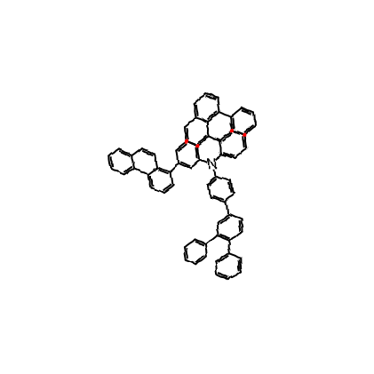 c1ccc(-c2ccc(-c3ccc(N(c4cccc(-c5cccc6c5ccc5ccccc56)c4)c4ccccc4-c4cccc5cccc(-c6ccccc6)c45)cc3)cc2-c2ccccc2)cc1